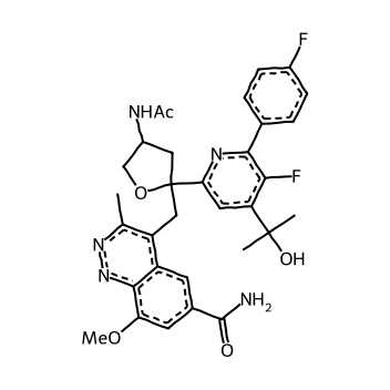 COc1cc(C(N)=O)cc2c(CC3(c4cc(C(C)(C)O)c(F)c(-c5ccc(F)cc5)n4)CC(NC(C)=O)CO3)c(C)nnc12